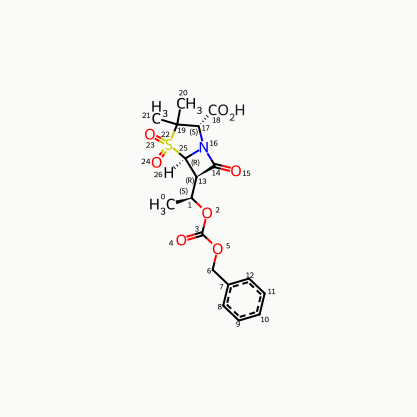 C[C@H](OC(=O)OCc1ccccc1)[C@@H]1C(=O)N2[C@@H](C(=O)O)C(C)(C)S(=O)(=O)[C@H]12